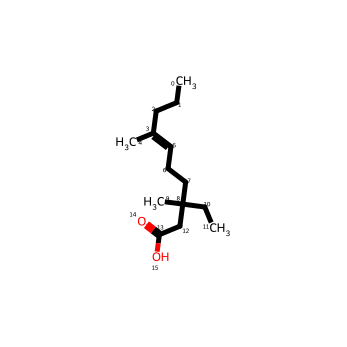 CCCC(C)=CCCC(C)(CC)CC(=O)O